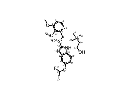 COc1ccnc(C[S+]([O-])c2nc3cc(OC(F)F)ccc3[nH]2)c1OC.C[N+](C)(C)CCO